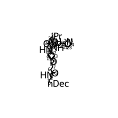 CCCCCCCCCCCCNC(=O)CCCOc1ccc(NC(NC(=O)CCc2cccnc2)C(=O)NCC(C)C)cc1